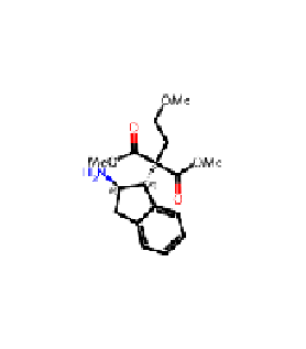 COCCC(C(=O)OC)(C(=O)OC)[C@@H]1c2ccccc2C[C@H]1N